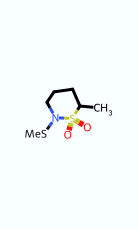 CSN1CCCC(C)S1(=O)=O